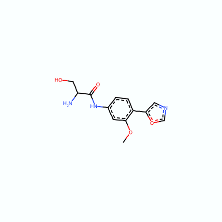 COc1cc(NC(=O)C(N)CO)ccc1-c1cnco1